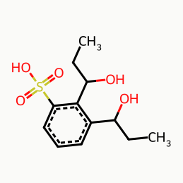 CCC(O)c1cccc(S(=O)(=O)O)c1C(O)CC